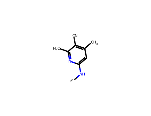 Cc1cc(NC(C)C)nc(C)c1C#N